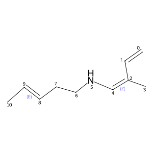 C=C/C(C)=C\NCC/C=C/C